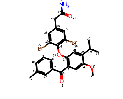 COc1cc(C(=O)c2cccc(C)c2)c(Oc2c(Br)cc(CC(N)=O)cc2Br)cc1C(C)C